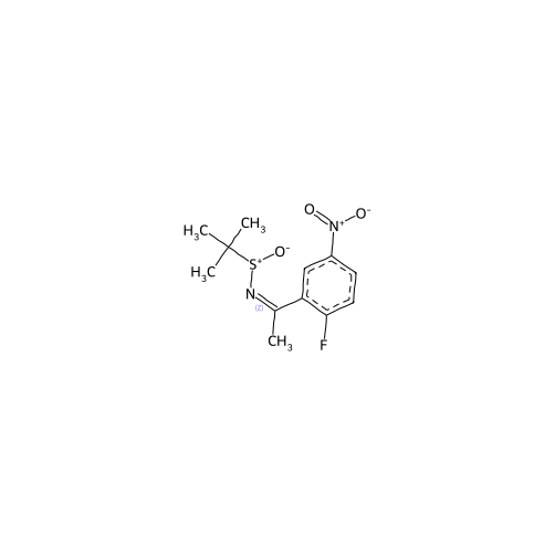 C/C(=N/[S+]([O-])C(C)(C)C)c1cc([N+](=O)[O-])ccc1F